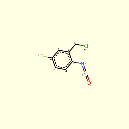 O=C=Nc1ccc(F)cc1CCl